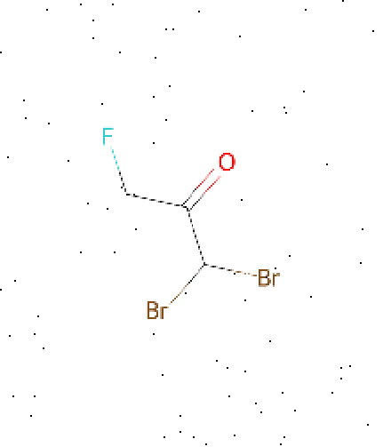 O=C(CF)C(Br)Br